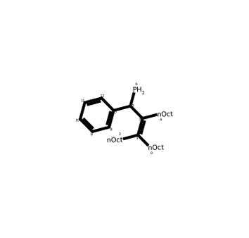 CCCCCCCCC(CCCCCCCC)=C(CCCCCCCC)C(P)c1ccccc1